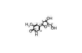 Cc1cc([C@H]2C[C@@H](O)[C@@H](CO)O2)c[nH]c1=O